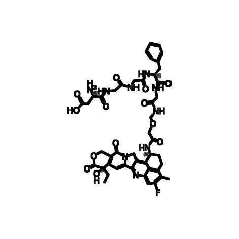 CC[C@@]1(O)C(=O)OCc2c1cc1n(c2=O)Cc2c-1nc1cc(F)c(C)c3c1c2[C@@H](NC(=O)COCNC(=O)CNC(=O)[C@H](Cc1ccccc1)NC(=O)CNC(=O)CNC(=O)[C@@H](N)CC(=O)O)CC3